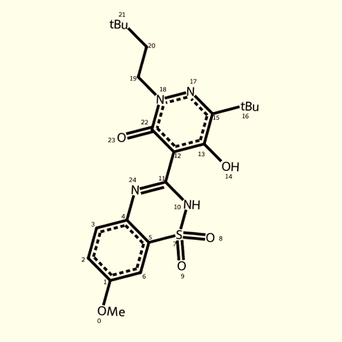 COc1ccc2c(c1)S(=O)(=O)NC(c1c(O)c(C(C)(C)C)nn(CCC(C)(C)C)c1=O)=N2